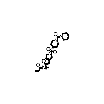 C=CC(=O)Nc1cc2c(o1)CN(S(=O)(=O)C1CCN(C(=O)N3CCCCC3)CC1)C2